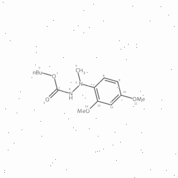 CCCCOC(=O)NN(C)c1ccc(OC)cc1OC